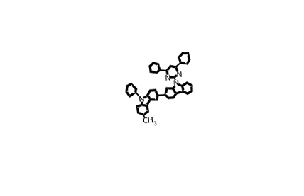 Cc1ccc2c(c1)c1cc(-c3ccc4c5ccccc5n(-c5nc(-c6ccccc6)cc(-c6ccccc6)n5)c4c3)ccc1n2-c1ccccc1